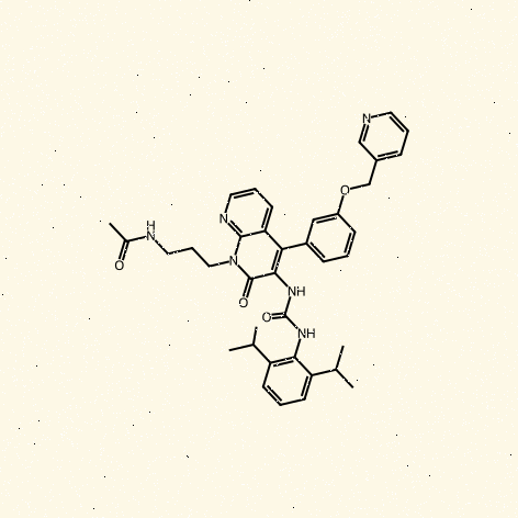 CC(=O)NCCCn1c(=O)c(NC(=O)Nc2c(C(C)C)cccc2C(C)C)c(-c2cccc(OCc3cccnc3)c2)c2cccnc21